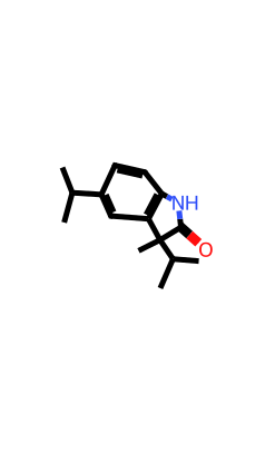 CC(C)c1ccc2c(c1)C(C)(C(C)C)C(=O)N2